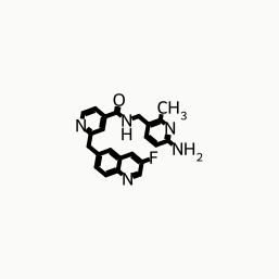 Cc1nc(N)ccc1CNC(=O)c1ccnc(Cc2ccc3ncc(F)cc3c2)c1